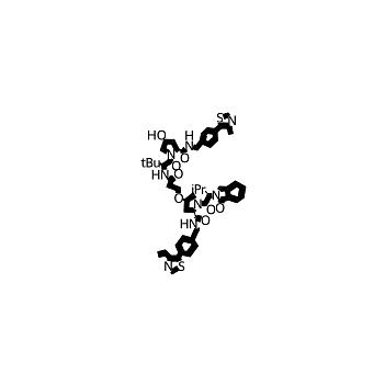 C=Cc1ncsc1-c1ccc(CNC(=O)[C@@H]2C[C@@H](OCCC(=O)N[C@H](C(=O)N3C[C@H](O)C[C@H]3C(=O)NCc3ccc(-c4scnc4C)cc3)C(C)(C)C)CN2C(=O)[C@H](C(C)C)N2Cc3ccccc3C2=O)cc1